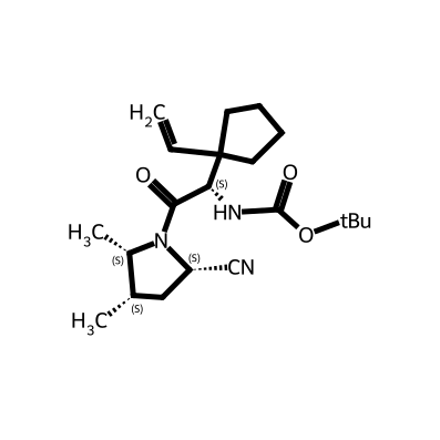 C=CC1([C@H](NC(=O)OC(C)(C)C)C(=O)N2[C@H](C#N)C[C@H](C)[C@@H]2C)CCCC1